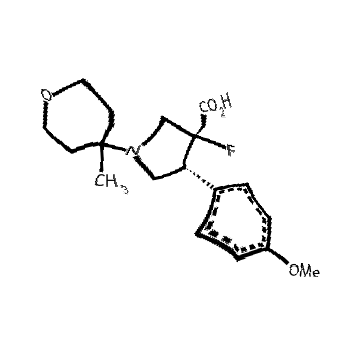 COc1ccc([C@@H]2CN(C3(C)CCOCC3)C[C@@]2(F)C(=O)O)cc1